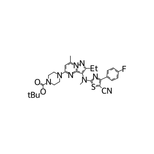 CCc1nn2c(C)cc(N3CCN(C(=O)OC(C)(C)C)CC3)nc2c1N(C)c1nc(-c2ccc(F)cc2)c(C#N)s1